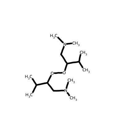 CC(C)C(CN(C)C)OOC(CN(C)C)C(C)C